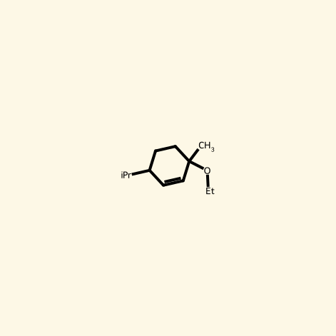 CCOC1(C)C=CC(C(C)C)CC1